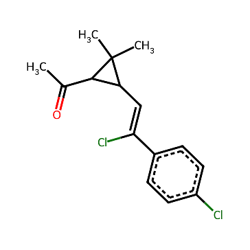 CC(=O)C1C(C=C(Cl)c2ccc(Cl)cc2)C1(C)C